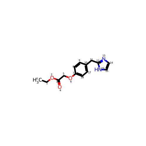 CCOC(=O)COc1ccc(Cc2ncc[nH]2)cc1